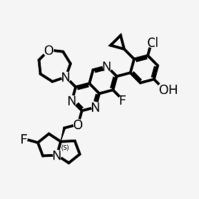 Oc1cc(Cl)c(C2CC2)c(-c2ncc3c(N4CCCOCC4)nc(OC[C@@]45CCCN4CC(F)C5)nc3c2F)c1